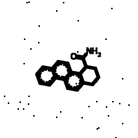 NC(=O)C1CCCc2ccc3c(ccc4ccccc43)c21